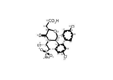 CC[C@@H](CS(=O)(=O)[C@H](C)CC)N1C(=O)[C@@H](CC(=O)O)O[C@H](c2cccc(Cl)c2)[C@H]1c1ccc(Cl)cc1